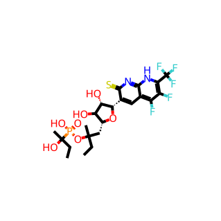 CCC(C)(C[C@H]1O[C@@H](c2cc3c(F)c(F)c(C(F)(F)F)[nH]c-3nc2=S)[C@@H](O)C1O)OP(=O)(O)C(C)(O)CC